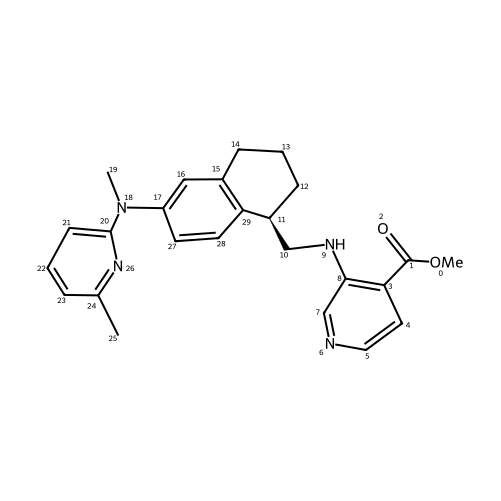 COC(=O)c1ccncc1NC[C@@H]1CCCc2cc(N(C)c3cccc(C)n3)ccc21